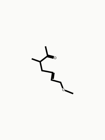 COCC=CCC(C)C(C)=O